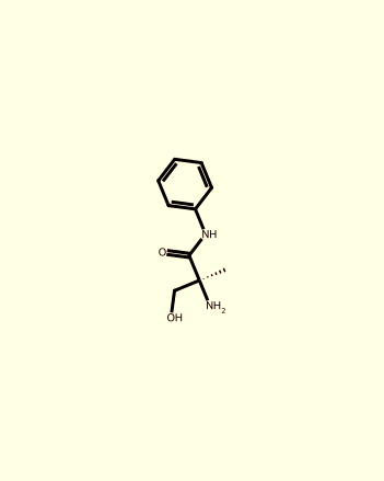 C[C@](N)(CO)C(=O)Nc1ccccc1